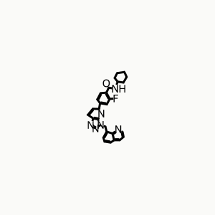 O=C(NC1CCCCC1)c1ccc(-c2ccc3nnn(Cc4cccc5cccnc45)c3n2)cc1F